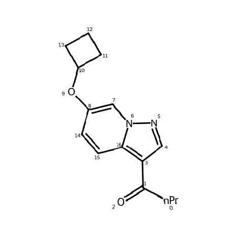 CCCC(=O)c1cnn2cc(OC3CCC3)ccc12